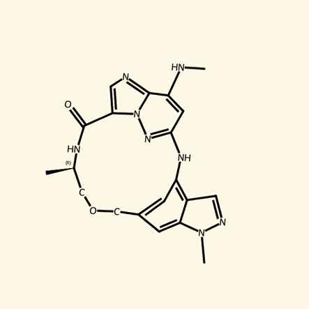 CNc1cc2nn3c(cnc13)C(=O)N[C@H](C)COCc1cc(c3cnn(C)c3c1)N2